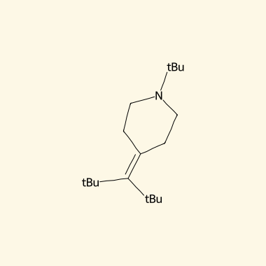 CC(C)(C)C(=C1CCN(C(C)(C)C)CC1)C(C)(C)C